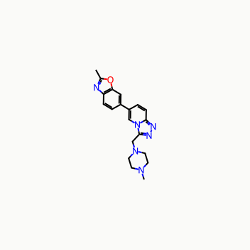 Cc1nc2ccc(-c3ccc4nnc(CN5CCN(C)CC5)n4c3)cc2o1